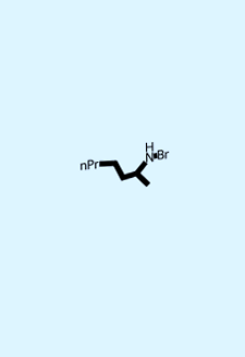 CCCCCC(C)NBr